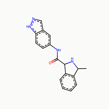 CC1NC(C(=O)Nc2ccc3[nH]ncc3c2)c2ccccc21